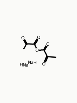 CC(=O)C(=O)OC(=O)C(C)=O.[NaH].[NaH]